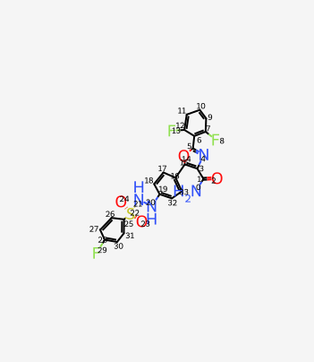 NC(=O)c1nc(-c2c(F)cccc2F)oc1-c1ccc(NNS(=O)(=O)c2ccc(F)cc2)cc1